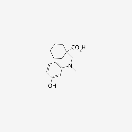 CN(CC1(C(=O)O)CCCCC1)c1cccc(O)c1